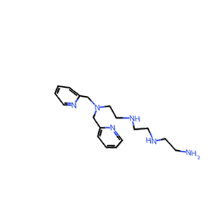 NCCNCCNCCN(Cc1ccccn1)Cc1ccccn1